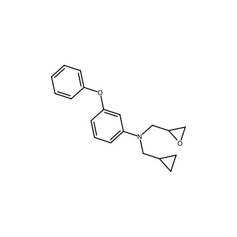 c1ccc(Oc2cccc(N(CC3CC3)CC3CO3)c2)cc1